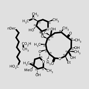 CC(=O)O.CCCCCCCCCCCCCCCCCC(=O)O.CC[C@H]1OC(=O)[C@H](C)[C@@H](O[C@H]2C[C@@](C)(OC)[C@@H](O)[C@H](C)O2)[C@@H](C)[C@@H](O[C@@H]2O[C@H](C)C[C@H](N(C)C)[C@H]2O)[C@](C)(O)C[C@@H](C)C(=O)[C@H](C)[C@H](O)[C@]1(C)O